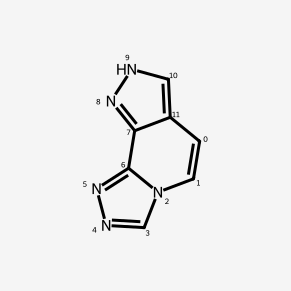 c1cn2cnnc2c2n[nH]cc12